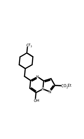 CCOC(=O)c1cc2nc(CC3CCC(C(F)(F)F)CC3)cc(O)n2n1